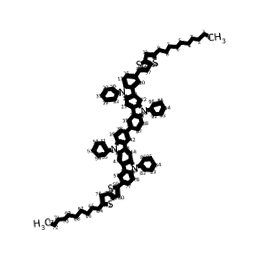 CCCCCCCCCCc1cc2sc(-c3ccc4c(c3)c3cc5c(cc3n4-c3ccccc3)c3cc(-c4ccc6c(c4)c4cc7c(cc4n6-c4ccccc4)c4cc(-c6cc8sc(CCCCCCCCCC)cc8s6)ccc4n7-c4ccccc4)ccc3n5-c3ccccc3)cc2s1